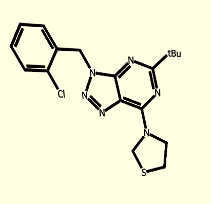 CC(C)(C)c1nc(N2CCSC2)c2nnn(Cc3ccccc3Cl)c2n1